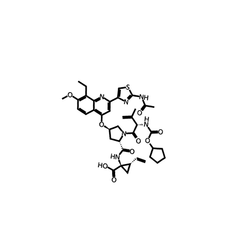 C=C[C@@H]1C[C@]1(NC(=O)[C@@H]1C[C@@H](Oc2cc(-c3csc(NC(C)=O)n3)nc3c(CC)c(OC)ccc23)CN1C(=O)[C@@H](NC(=O)OC1CCCC1)C(=C)C)C(=O)O